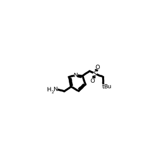 CC(C)(C)CS(=O)(=O)Cc1ccc(CN)cn1